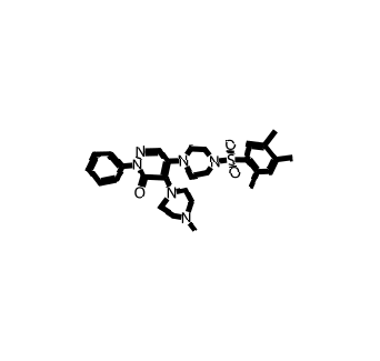 Cc1cc(C)c(S(=O)(=O)N2CCN(c3cnn(-c4ccccc4)c(=O)c3N3CCN(C)CC3)CC2)cc1C